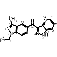 Cc1nn(CC(C)C)c2ccc(Nc3n[nH]c4cccnc34)cc12